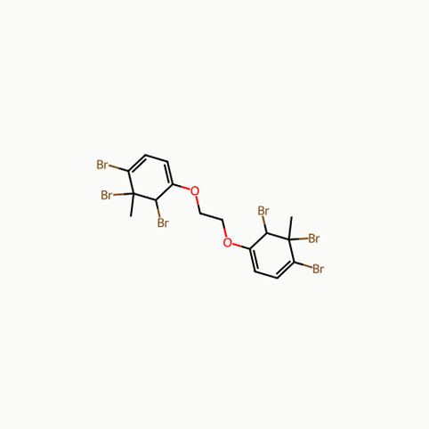 CC1(Br)C(Br)=CC=C(OCCOC2=CC=C(Br)C(C)(Br)C2Br)C1Br